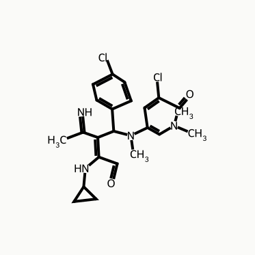 CC(=N)/C(=C(/C=O)NC1CC1)C(c1ccc(Cl)cc1)N(C)C(/C=C(/Cl)C=O)=C/N(C)C